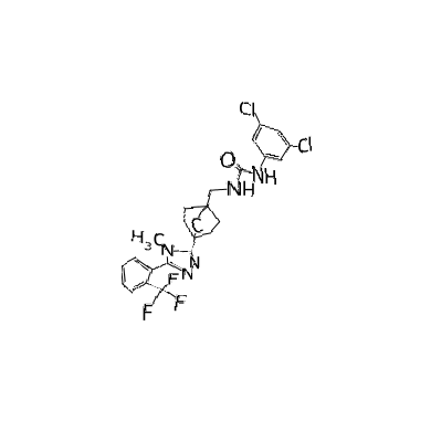 Cn1c(-c2ccccc2C(F)(F)F)nnc1C12CCC(CNC(=O)Nc3cc(Cl)cc(Cl)c3)(CC1)CC2